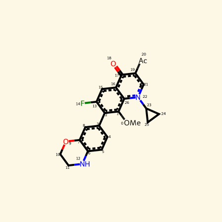 COc1c(-c2ccc3c(c2)OCCN3)c(F)cc2c(=O)c(C(C)=O)cn(C3CC3)c12